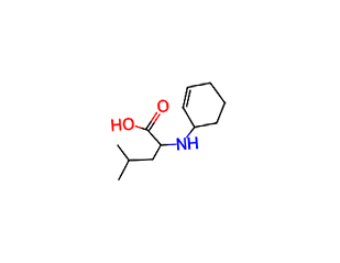 CC(C)CC(NC1C=CCCC1)C(=O)O